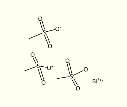 CS(=O)(=O)[O-].CS(=O)(=O)[O-].CS(=O)(=O)[O-].[Bi+3]